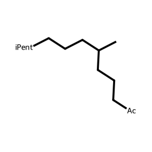 CCCC(C)CCCC(C)CCCC(C)=O